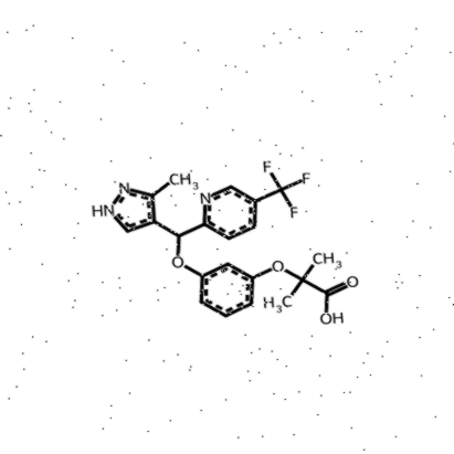 Cc1n[nH]cc1C(Oc1cccc(OC(C)(C)C(=O)O)c1)c1ccc(C(F)(F)F)cn1